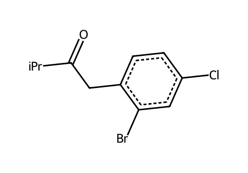 CC(C)C(=O)Cc1ccc(Cl)cc1Br